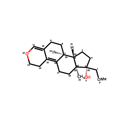 COC[C@]1(O)CC[C@H]2[C@@H]3CCC4=COCCC4=C3CC[C@@]21C